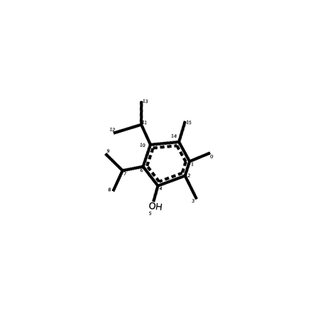 Cc1c(C)c(O)c(C(C)C)c(C(C)C)c1C